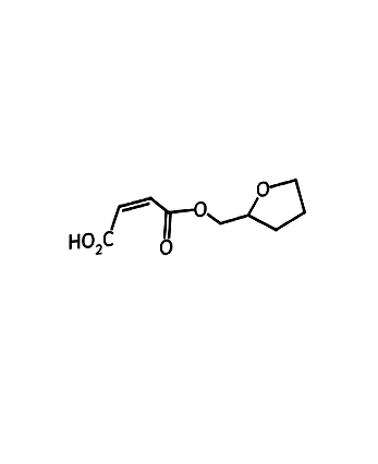 O=C(O)/C=C\C(=O)OCC1CCCO1